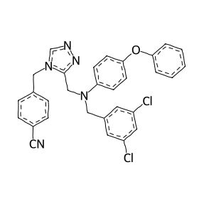 N#Cc1ccc(Cn2cnnc2CN(Cc2cc(Cl)cc(Cl)c2)c2ccc(Oc3ccccc3)cc2)cc1